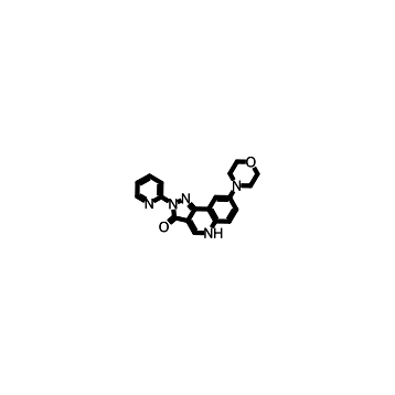 O=c1c2c[nH]c3ccc(N4CCOCC4)cc3c-2nn1-c1ccccn1